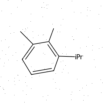 [CH2]C(C)c1cccc(C)c1C